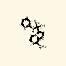 COc1nccn2c(C(O)(Nc3ncccn3)C(C)(C)C)cnc12